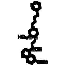 COc1ccc2nccc([C@H](O)CC[C@@H]3CCN(CCCSc4cccnc4)C[C@@H]3CO)c2c1